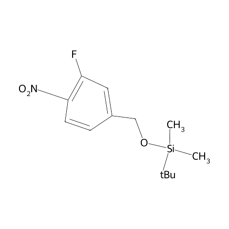 CC(C)(C)[Si](C)(C)OCc1ccc([N+](=O)[O-])c(F)c1